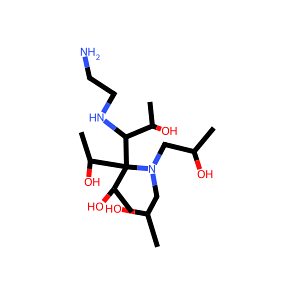 CC(O)CN(CC(C)O)C(C(C)O)(C(C)O)C(NCCN)C(C)O